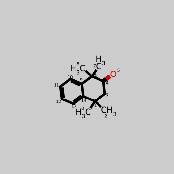 CC1(C)CC(=O)C(C)(C)c2ccccc21